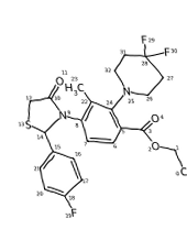 CCOC(=O)c1ccc(N2C(=O)CSC2c2ccc(F)cc2)c(C)c1N1CCC(F)(F)CC1